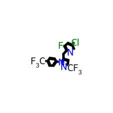 Fc1cc(Cl)cnc1Cc1cc(C(F)(F)F)nn1-c1ccc(C(F)(F)F)cc1